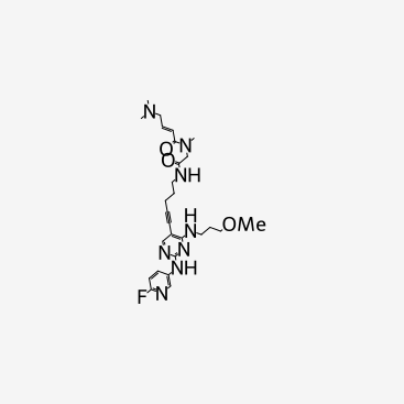 COCCCNc1nc(Nc2ccc(F)nc2)ncc1C#CCCCNC(=O)CN(C)C(=O)/C=C/CN(C)C